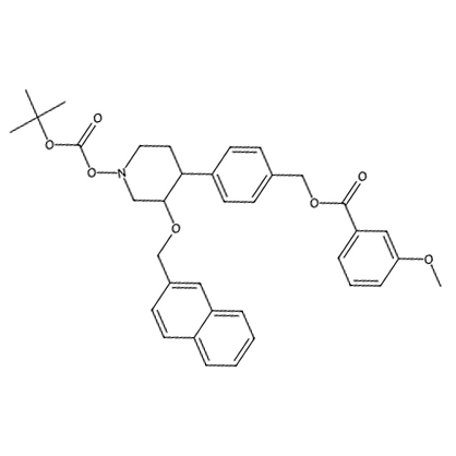 COc1cccc(C(=O)OCc2ccc(C3CCN(OC(=O)OC(C)(C)C)CC3OCc3ccc4ccccc4c3)cc2)c1